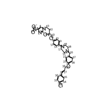 O=[N+]([O-])c1cn2c(n1)O[C@@H](COc1ccc(N3CCN(Cc4ccc(OCC=Cc5ccc(Cl)cc5)cc4)CC3)cc1)CC2